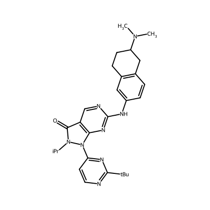 CC(C)n1c(=O)c2cnc(Nc3ccc4c(c3)CCC(N(C)C)C4)nc2n1-c1ccnc(C(C)(C)C)n1